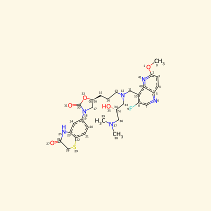 COc1ccc2ncc(F)c(CN(CCC[C@H]3CN(c4ccc5c(c4)NC(=O)CS5)C(=O)O3)C[C@@H](O)CN(C)C)c2n1